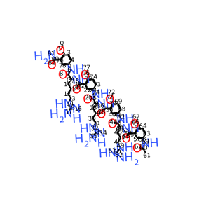 COc1ccc(NC(=O)[C@H](CCCCNC(=N)N)NC(=O)c2cc(NC(=O)[C@H](CCCCNC(=N)N)NC(=O)c3cc(NC(=O)[C@H](CCCNC(=N)N)NC(=O)c4cc(NC(C)=O)ccc4OC)ccc3OC)ccc2OC)cc1C(N)=O